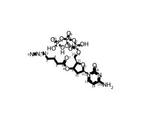 [N-]=[N+]=NCCCC(=O)OC1C[C@H](n2ccc(N)nc2=O)O[C@@H]1COP(=O)(O)OP(=O)(O)OP(=O)(O)O